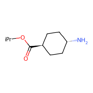 CC(C)OC(=O)[C@H]1CC[C@H](N)CC1